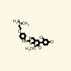 COn1c(=O)c(-c2ccc(Cl)cc2Cl)cc2cnc(Nc3ccc(OCCN(C)C)cc3)nc21